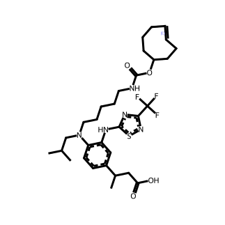 CC(C)CN(CCCCCNC(=O)OC1CC/C=C/CCC1)c1ccc(C(C)CC(=O)O)cc1Nc1nc(C(F)(F)F)ns1